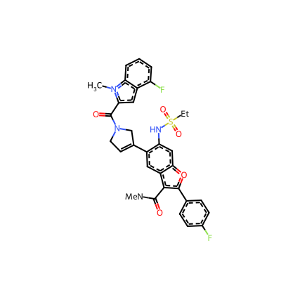 CCS(=O)(=O)Nc1cc2oc(-c3ccc(F)cc3)c(C(=O)NC)c2cc1C1=CCN(C(=O)c2cc3c(F)cccc3n2C)C1